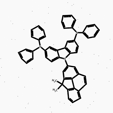 CC1(C)c2cccc3ccc4cc(-n5c6ccc(N(c7ccccc7)c7ccccc7)cc6c6cc(N(c7ccccc7)c7ccccc7)ccc65)cc1c4c23